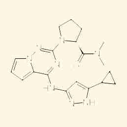 CN(C)C(=O)[C@@H]1CCCN1c1nc(Nc2cc(C3CC3)[nH]n2)c2cccn2n1